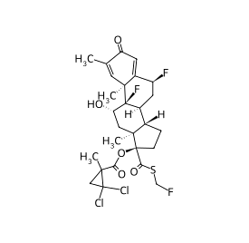 CC1=C[C@@]2(C)C(=CC1=O)[C@@H](F)C[C@H]1[C@@H]3CC[C@](OC(=O)C4(C)CC4(Cl)Cl)(C(=O)SCF)[C@@]3(C)C[C@H](O)[C@@]12F